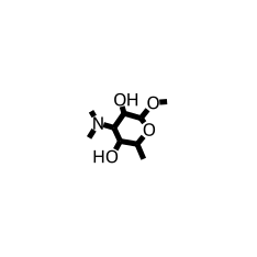 COC1OC(C)C(O)C(N(C)C)C1O